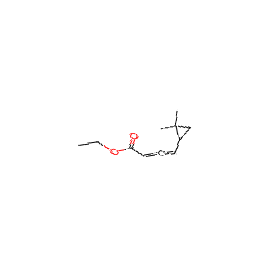 CCOC(=O)C=C=CC1CC1(C)C